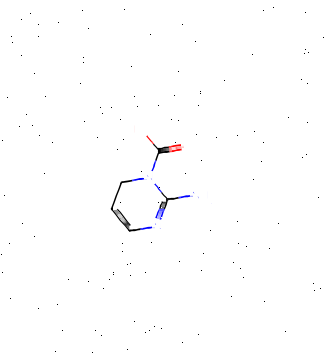 NC1=NC=CCN1C(=O)O